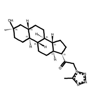 Cc1nnnn1CC(=O)[C@H]1CC[C@H]2[C@@H]3CC[C@H]4C[C@](C)(O)CC[C@@H]4[C@H]3CC[C@@H]21